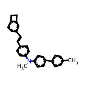 Cc1ccc(-c2ccc(N(C)c3ccc(/C=C/c4ccc5c(c4)CC5)cc3)cc2)cc1